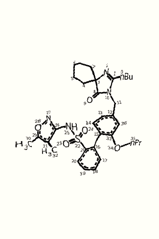 CCCCC1=NC2(CCCC2)C(=O)N1Cc1ccc(-c2ccccc2S(=O)(=O)Nc2noc(C)c2C)c(OCCC)c1